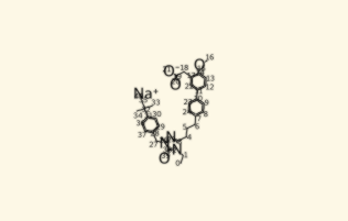 CCn1c(CCCc2ccc(-c3ccc(OC)c(CC(=O)[O-])c3)cc2)nn(Cc2ccc(C(C)(C)C)cc2)c1=O.[Na+]